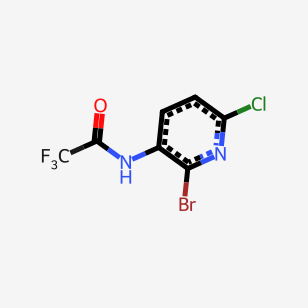 O=C(Nc1ccc(Cl)nc1Br)C(F)(F)F